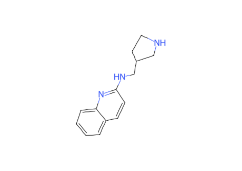 c1ccc2nc(NCC3CCNC3)ccc2c1